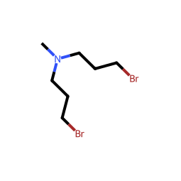 CN(CCCBr)CCCBr